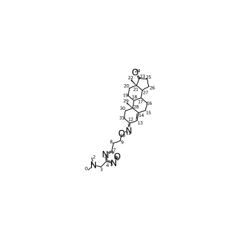 CN(C)Cc1noc(CCON=C2C=C3CCC4C(CC[C@]5(C)C(=O)CCC45)[C@@]3(C)CC2)n1